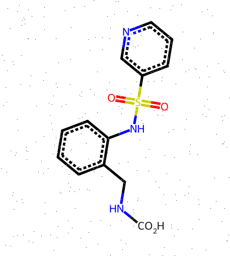 O=C(O)NCc1ccccc1NS(=O)(=O)c1cccnc1